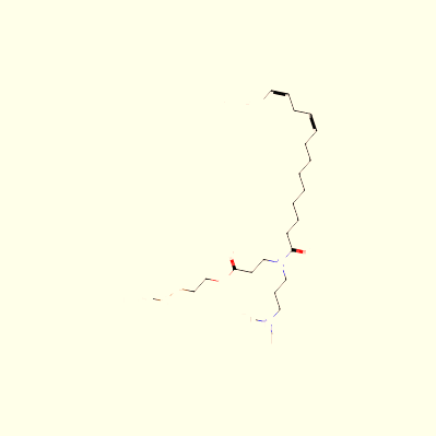 CCCCC/C=C\C/C=C\CCCCCCCC(=O)N(CCCN(CC)CC)CCC(=O)OCCSSCCCCCCCCCC